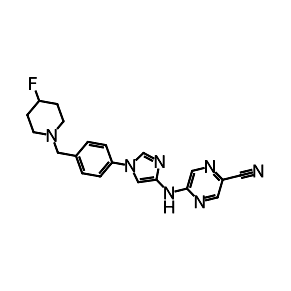 N#Cc1cnc(Nc2cn(-c3ccc(CN4CCC(F)CC4)cc3)cn2)cn1